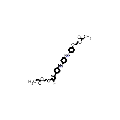 C=CC(=O)OCCOc1ccc(/N=N/c2ccc(/N=N/c3ccc(-c4cc(F)c(OCCOC(=O)C=C)s4)cc3)cc2)cc1